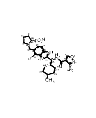 CCc1nocc1C(=O)N[C@H](c1nc2c(F)c(CN3CCC[C@@H]3C(=O)O)ccc2[nH]1)[C@H]1CC[C@H](C)CC1